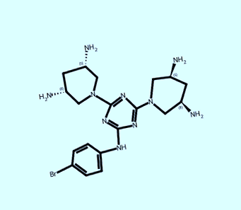 N[C@@H]1C[C@H](N)CN(c2nc(Nc3ccc(Br)cc3)nc(N3C[C@H](N)C[C@H](N)C3)n2)C1